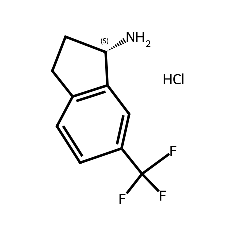 Cl.N[C@H]1CCc2ccc(C(F)(F)F)cc21